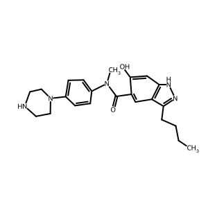 CCCCc1n[nH]c2cc(O)c(C(=O)N(C)c3ccc(N4CCNCC4)cc3)cc12